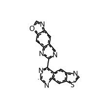 [c]1nc(-c2ncc3cc4ncoc4cc3n2)c2cc3ncsc3cc2n1